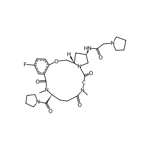 CN1CC(=O)N2C[C@H](NC(=O)CN3CCCC3)C[C@H]2COc2ccc(F)cc2C(=O)N(C)[C@H](C(=O)N2CCCC2)CCC1=O